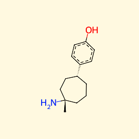 C[C@]1(N)CCC[C@@H](c2ccc(O)cc2)CC1